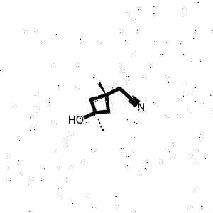 C[C@]1(O)C[C@](C)(CC#N)C1